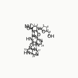 Cc1cn([C@H]2CC[C@@H](CO)O2)c(=O)[nH]c1=O.N.O=c1[nH]cnc2nc[nH]c12.c1ncc2[nH]cnc2n1